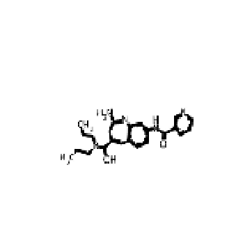 CCCN(CCC)C(O)C1=Cc2ccc(NC(=O)c3cccnc3)cc2N=C(N)C1